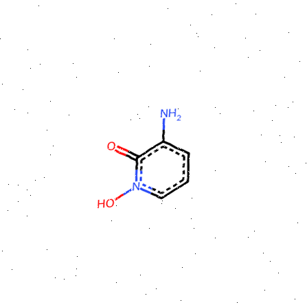 Nc1cccn(O)c1=O